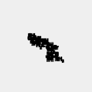 C=C(Cc1ccc(Oc2ncccc2C(N)=O)c(Br)c1)Nc1nc2cc(OC)ccn2n1